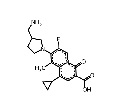 Cc1c(N2CCC(CN)C2)c(F)cn2c(=O)c(C(=O)O)cc(C3CC3)c12